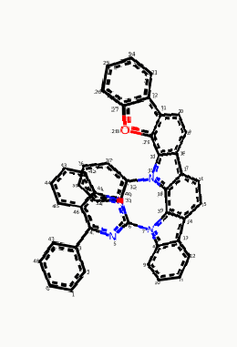 c1ccc(-c2nc(-n3c4ccccc4c4ccc5c6ccc7c8ccccc8oc7c6n(-c6ccccc6)c5c43)nc3ccccc23)cc1